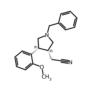 COc1ccccc1[C@@H]1CN(Cc2ccccc2)C[C@@H]1CC#N